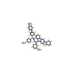 CC(C)(C)c1ccc(N2B3c4sc5ccc(C(C)(C)C)cc5c4-n4c5cc6oc7ccccc7c6cc5c5ccc(c3c54)-c3cc4c(cc32)sc2cc(C(C)(C)C)ccc24)cc1